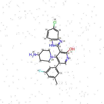 Cc1cc(F)cc(-c2cnc(O)c(-c3nc4cc(Cl)ccc4[nH]3)c2N2CCC(N)CC2)c1